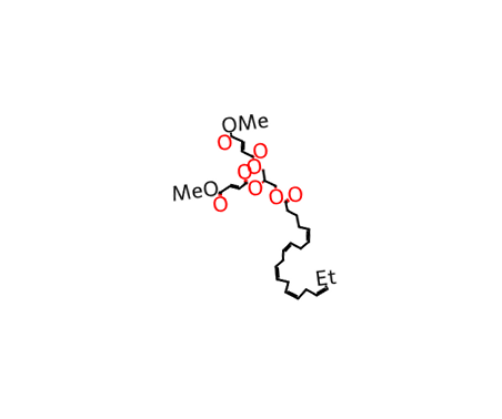 CC/C=C\C/C=C\C/C=C\C/C=C\C/C=C\CCCC(=O)OCC(COC(=O)/C=C/C(=O)OC)OC(=O)/C=C/C(=O)OC